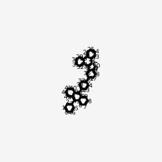 c1ccc(-c2c3ccccc3c(-c3ccc(-c4ccc5sc6c7ccccc7c7ccccc7c6c5c4)cc3)c3ccccc23)cc1